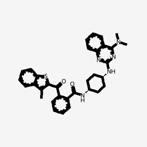 Cc1c(C(=O)c2ccccc2C(=O)N[C@H]2CC[C@@H](Nc3nc(N(C)C)c4ccccc4n3)CC2)sc2ccccc12